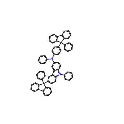 c1ccc(N(c2ccc(C3(c4ccccc4)c4ccccc4-c4ccccc43)cc2)c2ccc3c(c2)c2cc(C4(c5ccccc5)c5ccccc5-c5ccccc54)ccc2n3-c2ccccc2)cc1